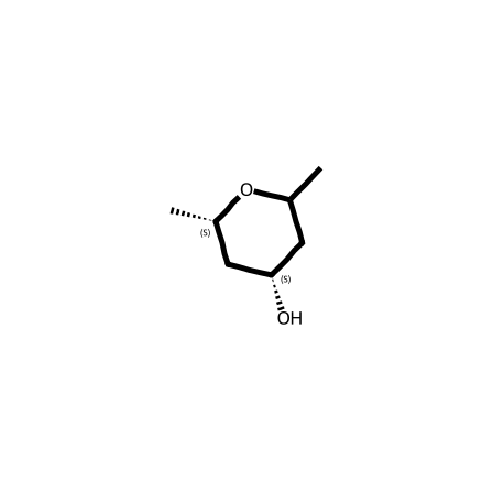 CC1C[C@H](O)C[C@H](C)O1